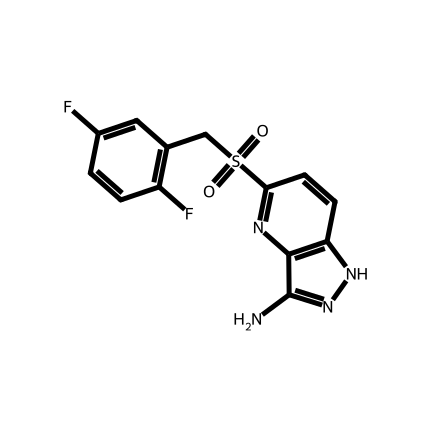 Nc1n[nH]c2ccc(S(=O)(=O)Cc3cc(F)ccc3F)nc12